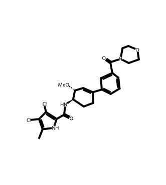 CO[C@@H]1C=C(c2cccc(C(=O)N3CCOCC3)c2)CC[C@H]1NC(=O)c1[nH]c(C)c(Cl)c1Cl